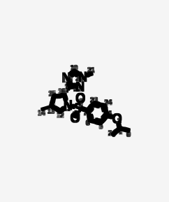 CC(C)Oc1ccc(S(=O)(=O)N2C[C@@H](C)C[C@@H]2c2ncn(C)n2)cc1